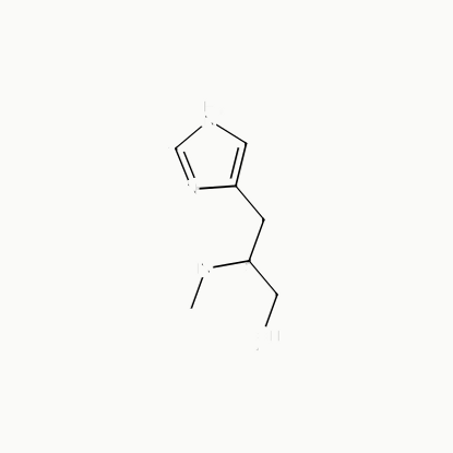 CNC(CO)Cc1c[nH]cn1